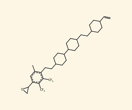 C=CC1CCC(CCC2CCC(C3CCC(CCc4c(C)cc(C5CO5)c(C(F)(F)F)c4C(F)(F)F)CC3)CC2)CC1